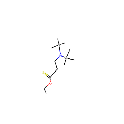 CCOC(=S)CCN([Si](C)(C)C)[Si](C)(C)C